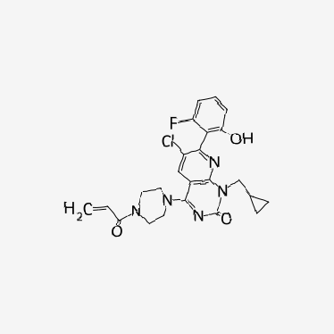 C=CC(=O)N1CCN(c2nc(=O)n(CC3CC3)c3nc(-c4c(O)cccc4F)c(Cl)cc23)CC1